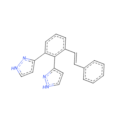 C(=Cc1cccc(-c2cc[nH]n2)c1-c1cc[nH]n1)c1ccccc1